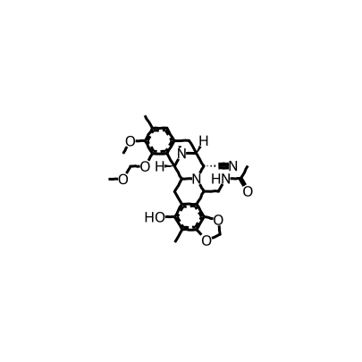 COCOc1c(OC)c(C)cc2c1[C@H]1C3Cc4c(O)c(C)c5c(c4C(CNC(C)=O)N3[C@@H](C#N)[C@@H](C2)N1C)OCO5